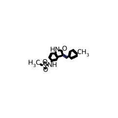 CCS(=O)(=O)Nc1ccc2c(c1)/C(=C/c1ccc(C)cc1)C(=O)N2